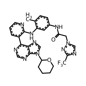 Cc1ccc(NC(=O)Cn2cnc(C(F)(F)F)n2)cc1Nc1ncccc1-c1ncnc2c1ncn2C1CCCCO1